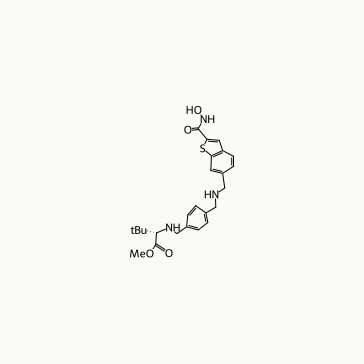 COC(=O)[C@@H](NCc1ccc(CNCc2ccc3cc(C(=O)NO)sc3c2)cc1)C(C)(C)C